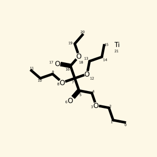 CCCOCC(=O)C(OCCC)(OCCC)C(=O)OCC.[Ti]